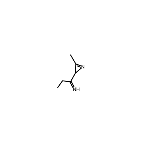 CCC(=N)C1N=C1C